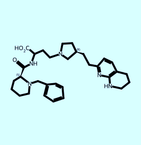 O=C(O)C(CCN1CC[C@@H](CCc2ccc3c(n2)NCCC3)C1)NC(=O)[C@@H]1CCCCN1Cc1ccccc1